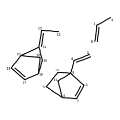 C=CC.C=CC12C=CC(CC1)C2.CC=C1CC2C=CC1C2